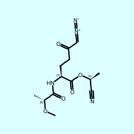 CO[C@H](C)C(=O)N[C@@H](CCC(=O)C=[N+]=[N-])C(=O)O[C@@H](C)C#N